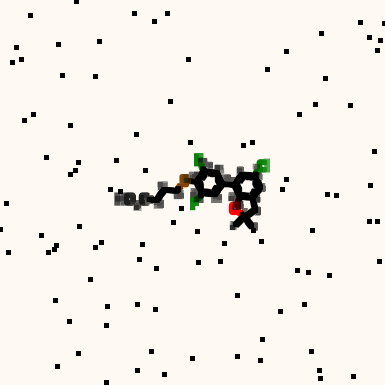 CC1(C)Cc2cc(Cl)cc(-c3cc(F)c(SCCCC(=O)O)c(F)c3)c2O1